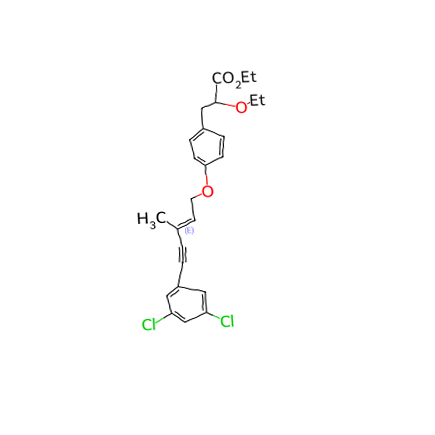 CCOC(=O)C(Cc1ccc(OC/C=C(\C)C#Cc2cc(Cl)cc(Cl)c2)cc1)OCC